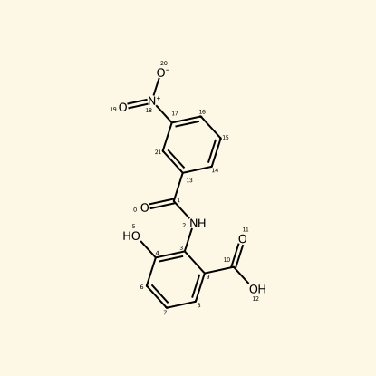 O=C(Nc1c(O)cccc1C(=O)O)c1cccc([N+](=O)[O-])c1